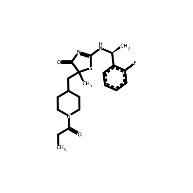 CCC(=O)N1CCC(CC2(C)SC(N[C@@H](C)c3ccccc3F)=NC2=O)CC1